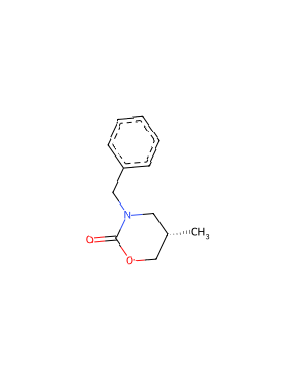 C[C@@H]1COC(=O)N(Cc2ccccc2)C1